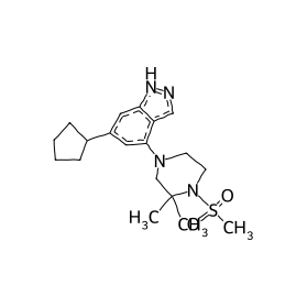 CC1(C)CN(c2cc(C3CCCC3)cc3[nH]ncc23)CCN1S(C)(=O)=O